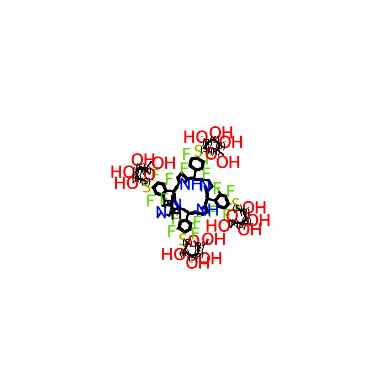 CN1C[C@@H]2c3nc(c(-c4c(F)c(F)c(S[C@@H]5O[C@H](CO)[C@@H](O)[C@H](O)[C@H]5O)c(F)c4F)c4ccc([nH]4)c(-c4c(F)c(F)c(S[C@@H]5O[C@H](CO)[C@@H](O)[C@H](O)[C@H]5O)c(F)c4F)c4nc(c(-c5c(F)c(F)c(S[C@@H]6O[C@H](CO)[C@@H](O)[C@H](O)[C@H]6O)c(F)c5F)c5ccc([nH]5)c3-c3c(F)c(F)c(S[C@@H]5O[C@H](CO)[C@@H](O)[C@H](O)[C@H]5O)c(F)c3F)C=C4)[C@@H]2C1